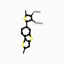 CCCCCCc1c(C)sc(-c2ccc3c(c2)sc2cc(C)sc23)c1CCCCCC